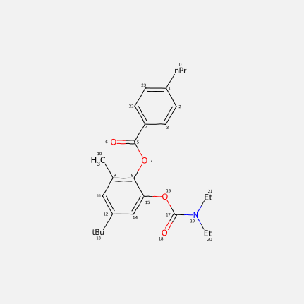 CCCc1ccc(C(=O)Oc2c(C)cc(C(C)(C)C)cc2OC(=O)N(CC)CC)cc1